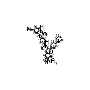 Cc1cc(CC(NC(=O)N2CCC(N3Cc4cc(C#N)ccc4NC3=O)CC2)C(=O)N2CCC(N3CCCCC3)CC2)cc2cn[nH]c12